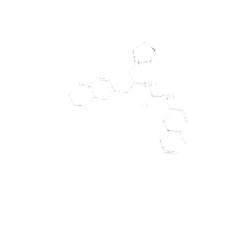 O=C(Nc1ccc2ccccc2c1)NC(Cc1ccc2c(c1)OCCO2)CN1CCCC1